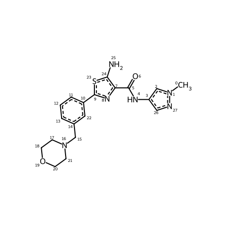 Cn1cc(NC(=O)c2nc(-c3cccc(CN4CCOCC4)c3)sc2N)cn1